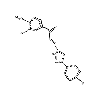 COc1ccc(C(=O)/C=C/c2cc(-c3ccc(F)cc3)n[nH]2)cc1O